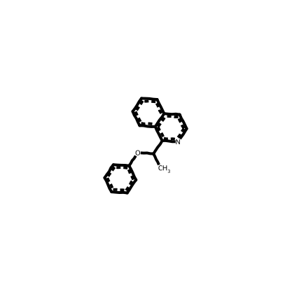 CC(Oc1ccccc1)c1nccc2ccccc12